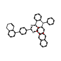 C1=Cc2c(cccc2-c2ccc(-c3nc(-c4ccc5ccccc5c4)nc(-c4ccccc4N(c4ccccc4)c4ccccc4)n3)cc2)CC1